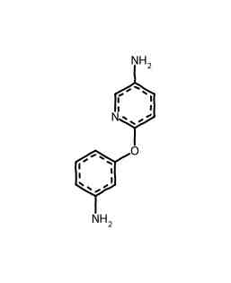 Nc1ccc(Oc2cccc(N)c2)nc1